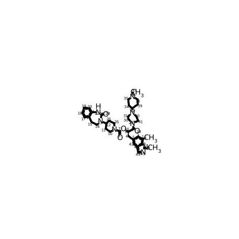 Cc1cc(C[C@@H](OC(=O)N2CCC(N3CCc4ccccc4NC3=O)CC2)C(=O)N2CCN(C3CCN(C)CC3)CC2)cc2cnn(C)c12